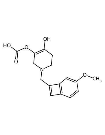 COc1ccc2c(c1)C(CN1CCC(O)=C(OC(=O)O)C1)=C2